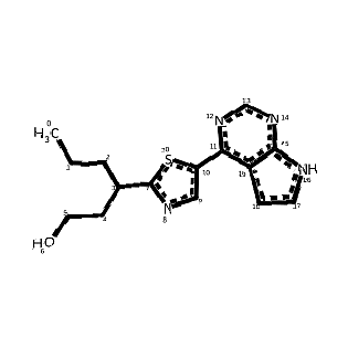 CCCC(CCO)c1ncc(-c2ncnc3[nH]ccc23)s1